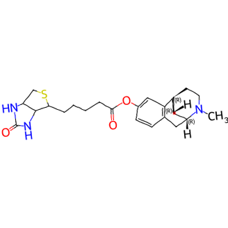 CN1CC[C@]23CCCC[C@H]2[C@H]1Cc1ccc(OC(=O)CCCCC2SCC4NC(=O)NC42)cc13